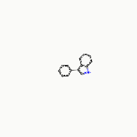 [c]1ccc(-c2c[nH]c3ccccc23)cc1